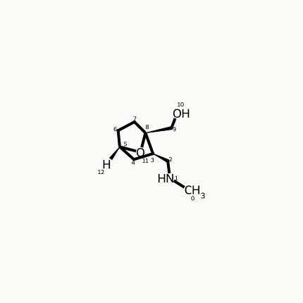 CNC[C@H]1C[C@@H]2CC[C@@]1(CO)O2